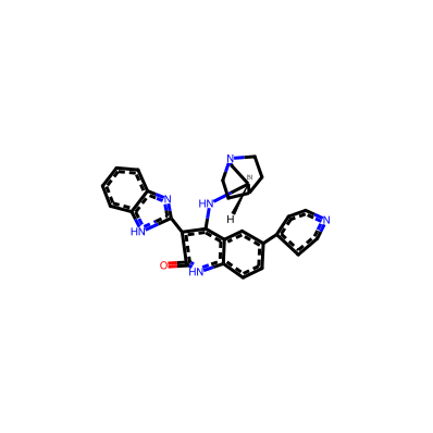 O=c1[nH]c2ccc(-c3ccncc3)cc2c(N[C@@H]2CN3CCC2CC3)c1-c1nc2ccccc2[nH]1